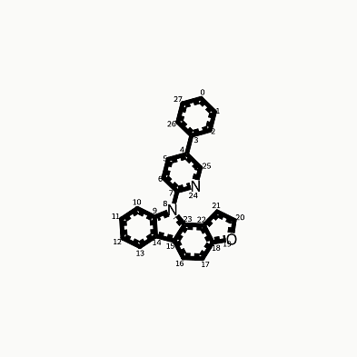 c1ccc(-c2ccc(-n3c4ccccc4c4ccc5occc5c43)nc2)cc1